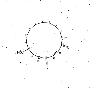 CC1CCCCCCCCOC(=O)C=CC(=O)OC1